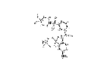 Nc1ccc2c(c1)C1(CCC3(CC3)CC1)CN2C(=O)c1cccc(S(=O)(=O)N2CCC(F)(F)CC2)c1